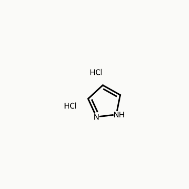 Cl.Cl.c1cn[nH]c1